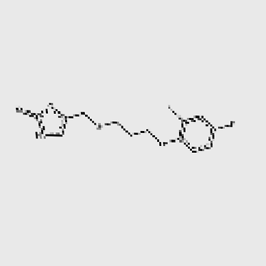 Fc1ccc(OCCCSCc2c[nH]c(=S)o2)c(F)c1